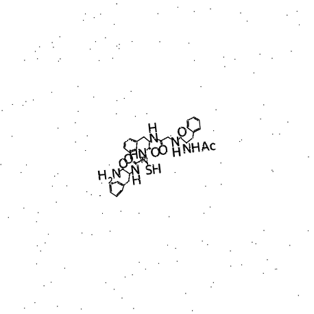 CC(=O)NC(Cc1ccccc1)C(=O)NCC(=O)NC(Cc1ccccc1)C(=O)N[C@@H](CS)C(=O)NC(Cc1ccccc1)C(N)=O